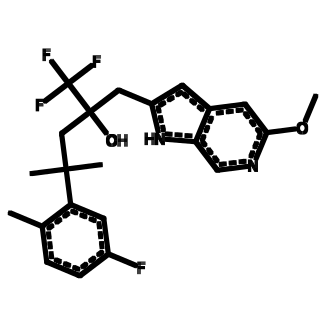 COc1cc2cc(CC(O)(CC(C)(C)c3cc(F)ccc3C)C(F)(F)F)[nH]c2cn1